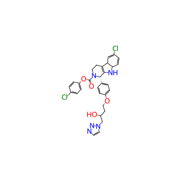 O=C(Oc1ccc(Cl)cc1)N1CCC2=C(NC3C=CC(Cl)=CC23)[C@@H]1c1ccc(OCCC(O)Cn2ccnn2)cc1